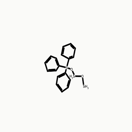 [SiH3]O[SiH2]O[Si](c1ccccc1)(c1ccccc1)c1ccccc1